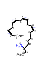 CCCCC/C=C\C/C=C\C/C=C\C/C=C\CCCCC(N)COC